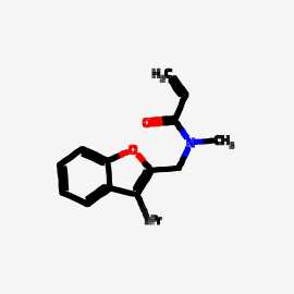 C=CC(=O)N(C)Cc1oc2ccccc2c1CCC